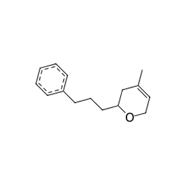 CC1=CCOC(CCCc2ccccc2)C1